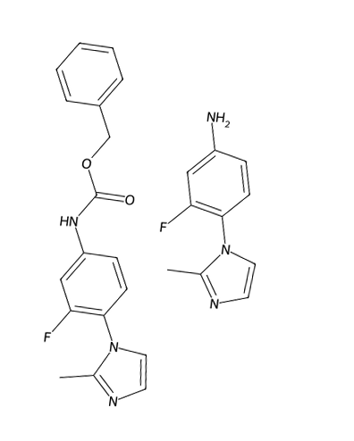 Cc1nccn1-c1ccc(N)cc1F.Cc1nccn1-c1ccc(NC(=O)OCc2ccccc2)cc1F